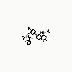 Cc1nc(NC2CC2)c2cc(-c3ccc(F)c(CN(C(=O)c4ccco4)C4CC4)c3)ccc2n1